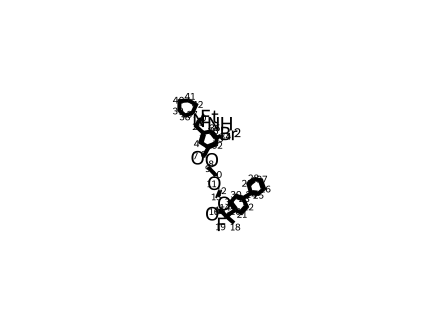 CCN(Cc1cc(C(=O)OCCOCCOC(=O)C(C)(F)c2ccc(-c3ccccc3)cc2)cc(Br)c1N)C1CCCCC1